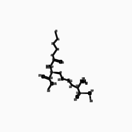 CCCCCC(=O)N[C@@H](CSSCC(N)C(=O)OC)C(=O)OC